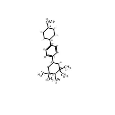 CCCN1C(C)(C)CC(c2ccc(C3CCC(OC)CC3)cc2)CC1(C)C